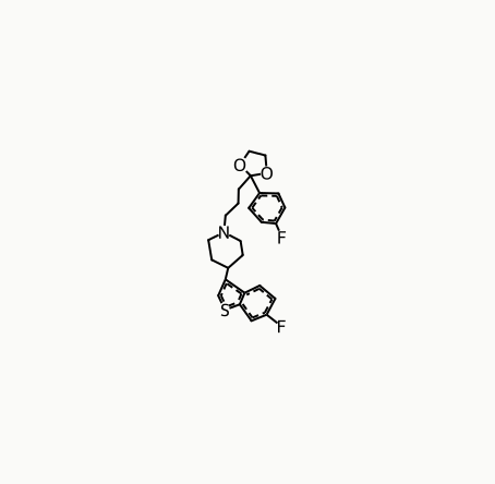 Fc1ccc(C2(CCCN3CCC(c4csc5cc(F)ccc45)CC3)OCCO2)cc1